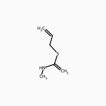 C=CCSC(=C)NC